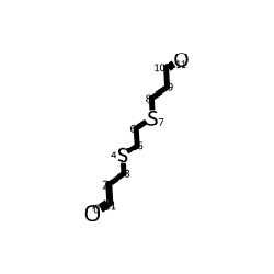 O=CCCSCCSCCC=O